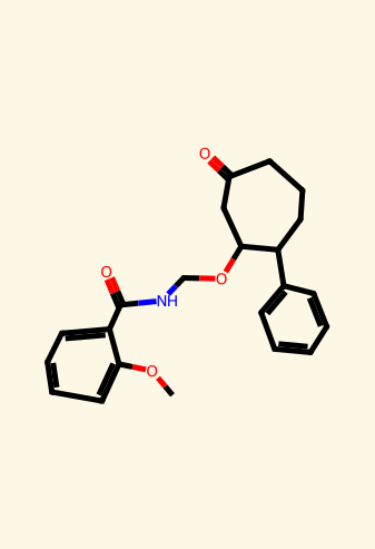 COc1ccccc1C(=O)NCOC1CC(=O)CCCC1c1ccccc1